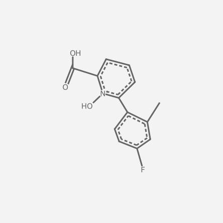 Cc1cc(F)ccc1-c1cccc(C(=O)O)[n+]1O